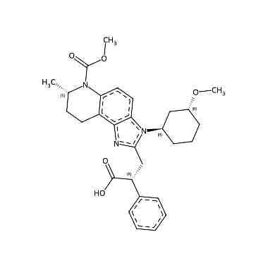 COC(=O)N1c2ccc3c(nc(C[C@@H](C(=O)O)c4ccccc4)n3[C@@H]3CCC[C@@H](OC)C3)c2CC[C@@H]1C